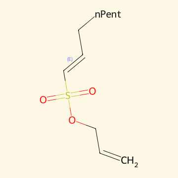 C=CCOS(=O)(=O)/C=C/CCCCCC